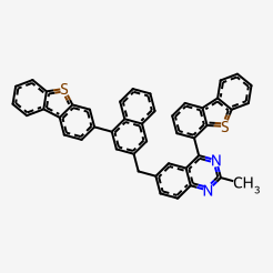 Cc1nc(-c2cccc3c2sc2ccccc23)c2cc(Cc3cc(-c4ccc5c(c4)sc4ccccc45)c4ccccc4c3)ccc2n1